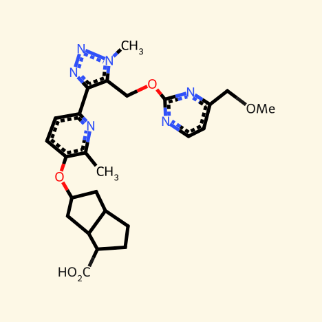 COCc1ccnc(OCc2c(-c3ccc(OC4CC5CCC(C(=O)O)C5C4)c(C)n3)nnn2C)n1